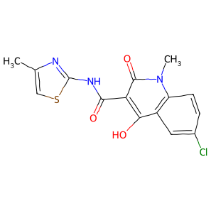 Cc1csc(NC(=O)c2c(O)c3cc(Cl)ccc3n(C)c2=O)n1